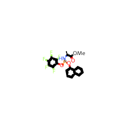 COC(=O)[C@H](C)N[P@](Oc1c(F)c(F)c(F)c(F)c1F)Oc1cccc2ccccc12